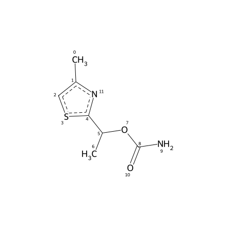 Cc1csc(C(C)OC(N)=O)n1